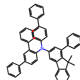 CC1(C)c2ccccc2-c2cc(N(c3ccc(-c4ccccc4)cc3)c3ccc(-c4ccccc4)cc3-c3ccccc3)cc(-c3ccccc3)c21